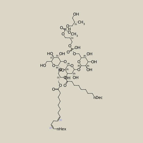 CCCCCC/C=C\C/C=C\CCCCCCC(=O)OC[C@H](CO[C@@H]1OC(CO)[C@@H](O)[C@H](O)C1O[C@@H]1OC(O[C@H]2OC(COP(=O)(O)OC[C@@H](C)COP(=O)(O)OC[C@@H](C)CO)[C@H](O)C(O)[C@H]2O)[C@H](O)C(O)[C@H]1O)OC(=O)CCCCCCCCCCCCCCCCC